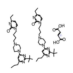 CCCc1cc(N2CCN(CCCCn3ccc(CC)nc3=O)CC2)nc(C(C)(C)C)n1.CCCc1cc(N2CCN(CCCCn3ccc(CC)nc3=O)CC2)nc(C(C)(C)C)n1.O=C(O)/C=C/C(=O)O